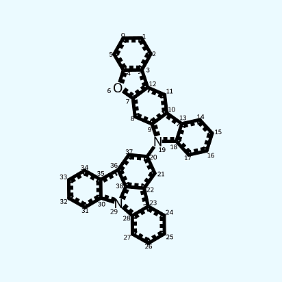 c1ccc2c(c1)oc1cc3c(cc12)c1ccccc1n3-c1cc2c3ccccc3n3c4ccccc4c(c1)c23